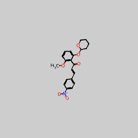 COc1cccc(OC2CCCCO2)c1C(=O)/C=C/c1ccc([N+](=O)[O-])cc1